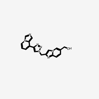 OCc1ccc2nc(Cn3cc(-c4cccn5cncc45)nn3)cn2c1